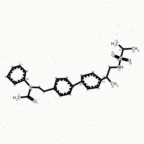 CC(=O)N(CCc1ccc(-c2ccc(C(C)CNS(=O)(=O)C(C)C)cc2)cc1)c1ccccc1